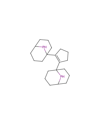 C1CC(C23CCCC(CCC2)P3)=C(C23CCCC(CCC2)P3)C1